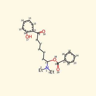 CCN(CC)C(CCCCCC(=O)c1ccccc1O)OC(=O)c1ccccc1